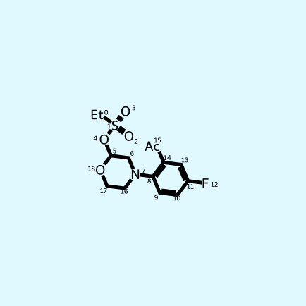 CCS(=O)(=O)OC1CN(c2ccc(F)cc2C(C)=O)CCO1